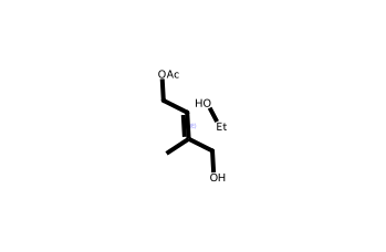 CC(=O)OC/C=C(\C)CO.CCO